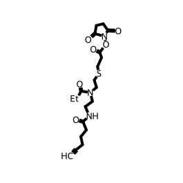 C#CCCCC(=O)NCCN(CCSCCC(=O)ON1C(=O)CCC1=O)C(=O)CC